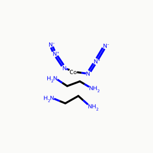 NCCN.NCCN.[N-]=[N+]=[N][Co][N]=[N+]=[N-]